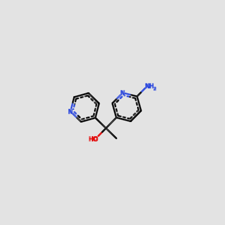 CC(O)(c1cccnc1)c1ccc(N)nc1